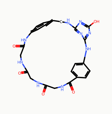 O=C1CNC(=O)CNC(=O)c2ccc(cc2)Nc2nc(O)nc(n2)NCc2ccc(cc2)NC(=O)CN1